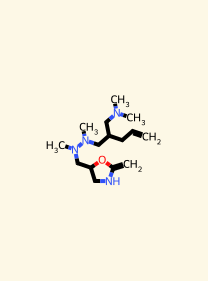 C=CCC(CN(C)C)CN(C)N(C)CC1CNC(=C)O1